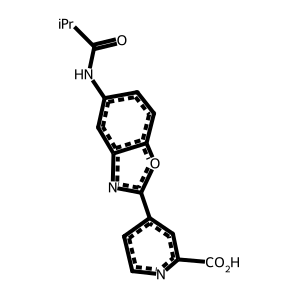 CC(C)C(=O)Nc1ccc2oc(-c3ccnc(C(=O)O)c3)nc2c1